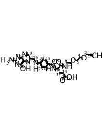 C#CCOCCOCCNC(=O)[C@H](CCC(=O)O)NC(=O)c1ccc(NCc2cnc3nc(N)nc(O)c3n2)cc1